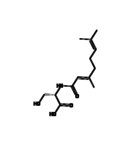 CC(C)=CCCC(C)=CC(=O)N[C@@H](CO)C(=O)O